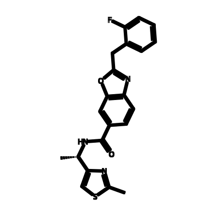 Cc1nc([C@H](C)NC(=O)c2ccc3nc(Cc4ccccc4F)oc3c2)cs1